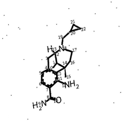 CC1[C@@H]2Cc3ccc(C(N)=O)c(N)c3[C@@]1(C)CCN2CC1CC1